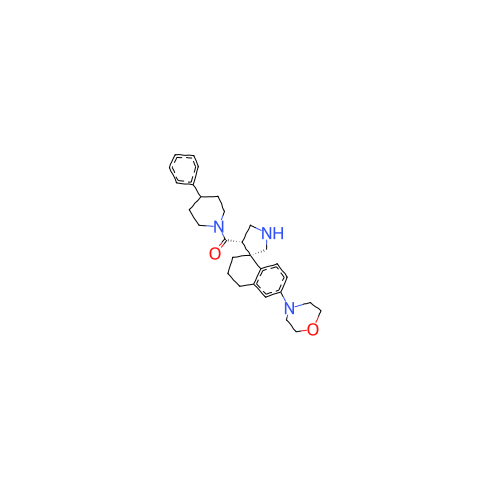 O=C([C@@H]1CNC[C@]12CCCc1cc(N3CCOCC3)ccc12)N1CCC(c2ccccc2)CC1